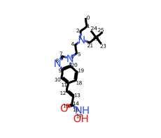 CCCN(CCn1cnc2cc(/C=C/C(=O)NO)ccc21)CC(C)(C)C